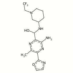 Cc1nc(C(O)NC2CCCN(CC(F)(F)F)C2)c(N)nc1-c1ncco1